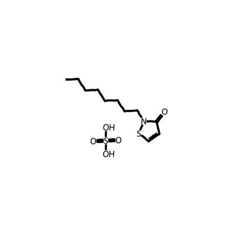 CCCCCCCCn1sccc1=O.O=S(=O)(O)O